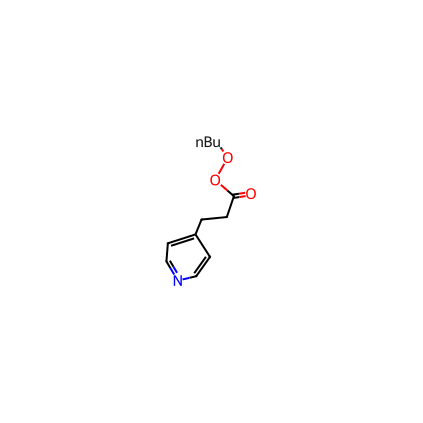 CCCCOOC(=O)CCc1ccncc1